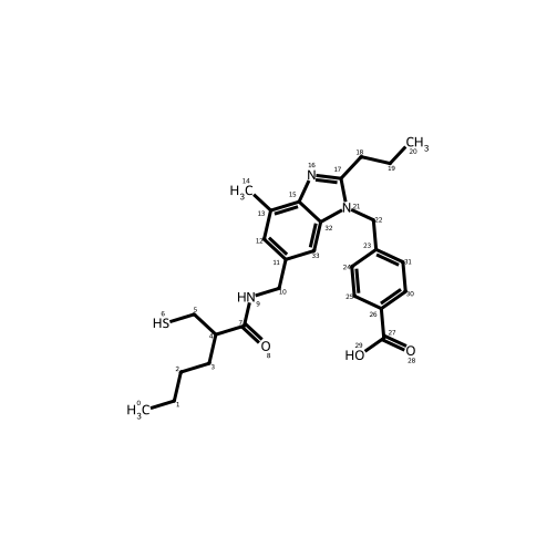 CCCCC(CS)C(=O)NCc1cc(C)c2nc(CCC)n(Cc3ccc(C(=O)O)cc3)c2c1